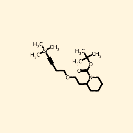 CC(C)(C)OC(=O)N1CCCCC1CCOCCC#C[Si](C)(C)C